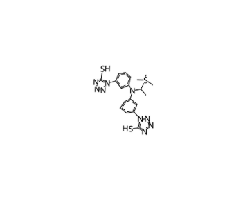 CC(N(c1cccc(-n2nnnc2S)c1)c1cccc(-n2nnnc2S)c1)S(C)(C)C